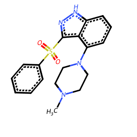 CN1CCN(c2cccc3[nH]nc(S(=O)(=O)c4ccccc4)c23)CC1